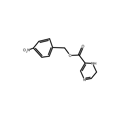 O=C(OCc1ccc([N+](=O)[O-])cc1)C1=CN=CCN1